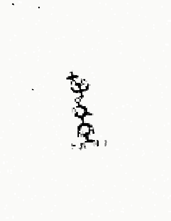 CCC(CC)(COc1cc(C)c(-c2cnc(C(=N)N)nc2)cn1)C(=O)OC(C)(C)C